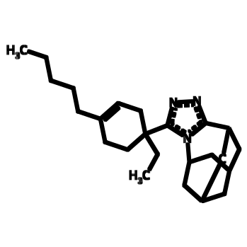 CCCCCC1=CCC(CC)(c2nnc3n2C2CC4CC(CC3C4)C2)CC1